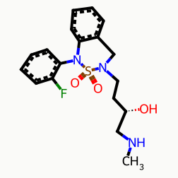 CNC[C@@H](O)CCN1Cc2ccccc2N(c2ccccc2F)S1(=O)=O